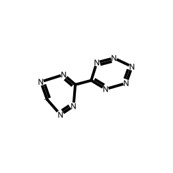 [c]1nnc(-c2nnnnn2)nn1